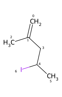 C=C(C)CC(C)I